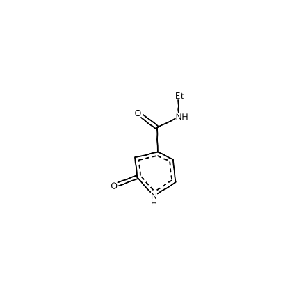 CCNC(=O)c1cc[nH]c(=O)c1